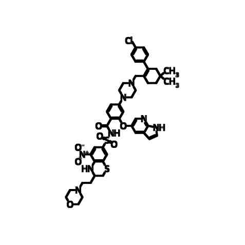 CC1(C)CCC(CN2CCN(c3ccc(C(=O)NS(=O)(=O)c4cc5c(c([N+](=O)[O-])c4)NC(CCN4CCOCC4)CS5)c(Oc4cnc5[nH]ccc5c4)c3)CC2)=C(c2ccc(Cl)cc2)C1